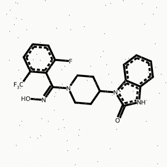 O=c1[nH]c2ccccc2n1C1CCN(C(=NO)c2c(F)cccc2C(F)(F)F)CC1